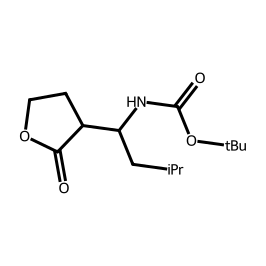 CC(C)CC(NC(=O)OC(C)(C)C)C1CCOC1=O